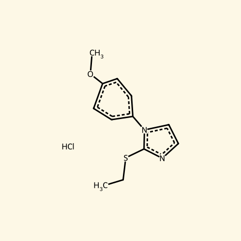 CCSc1nccn1-c1ccc(OC)cc1.Cl